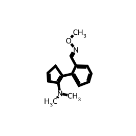 CON=Cc1ccccc1C1=C(N(C)C)C=CC1